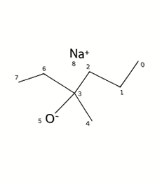 CCCC(C)([O-])CC.[Na+]